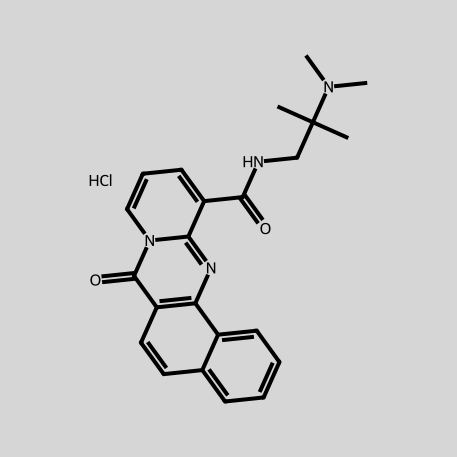 CN(C)C(C)(C)CNC(=O)c1cccn2c(=O)c3ccc4ccccc4c3nc12.Cl